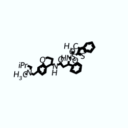 Cc1c(S(=O)(=O)NC(CC(=O)NC2CCOc3cc(CN(C)CC(C)C)ccc32)c2ccccc2)sc2ccccc12